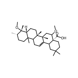 COC1C[C@]2(C)C(=CCC3C4(C)CC[C@H](C)[C@](C)(OC)[C@@H]4CC[C@@]32C)C2CC(C)(C)CC[C@]12C(=O)O